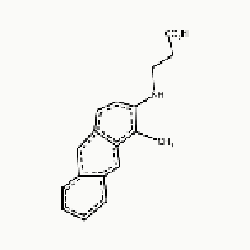 Cc1c(NCCC(=O)O)ccc2cc3ccccc3cc12